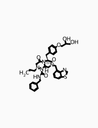 C=CCN1CC(=O)N2[C@@H](Cc3ccc(OCC(O)CO)cc3)C(=O)N(Cc3cccc4scnc34)C[C@@H]2N1C(=O)NCc1ccccc1